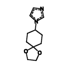 c1cn(C2CCC3(CC2)OCCO3)cn1